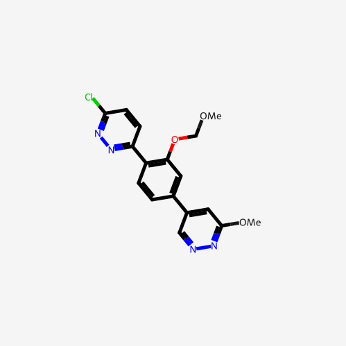 COCOc1cc(-c2cnnc(OC)c2)ccc1-c1ccc(Cl)nn1